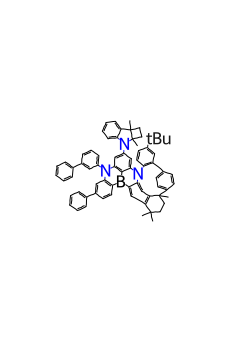 CC(C)(C)c1ccc2c(c1)-c1ccc(cc1)C1(C)CCC(C)(C)c3cc4c(cc31)N2c1cc(N2c3ccccc3C3(C)CCC23C)cc2c1B4c1ccc(-c3ccccc3)cc1N2c1cccc(-c2ccccc2)c1